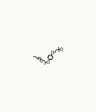 CCC=NOCC(C)Oc1ccc(OCCC(C)(C)OC)cc1